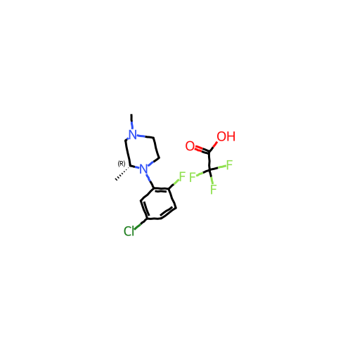 C[C@@H]1CN(C)CCN1c1cc(Cl)ccc1F.O=C(O)C(F)(F)F